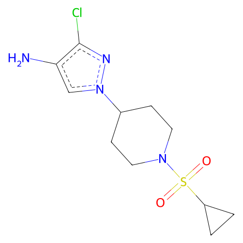 Nc1cn(C2CCN(S(=O)(=O)C3CC3)CC2)nc1Cl